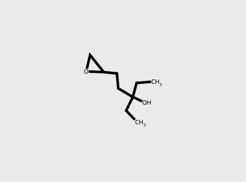 CCC(O)(CC)CCC1CO1